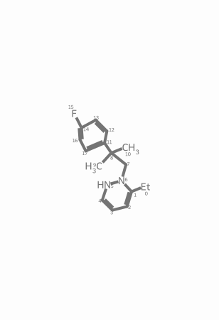 CCC1=CC=CNN1CC(C)(C)c1ccc(F)cc1